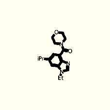 CCn1cnc2c(C(=O)N3CCOCC3)cc(C(C)C)cc21